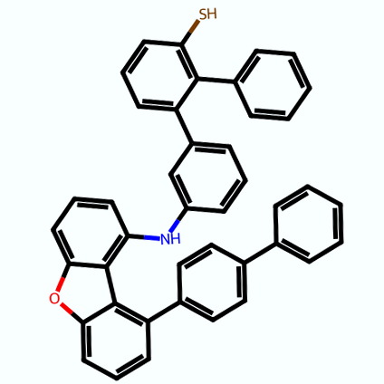 Sc1cccc(-c2cccc(Nc3cccc4oc5cccc(-c6ccc(-c7ccccc7)cc6)c5c34)c2)c1-c1ccccc1